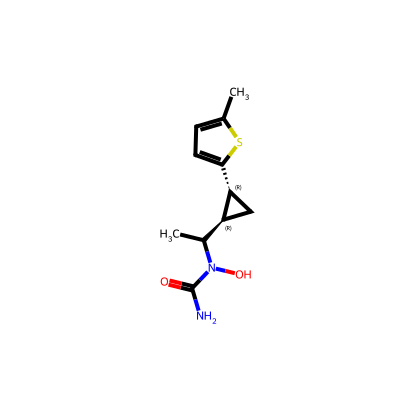 Cc1ccc([C@@H]2C[C@H]2C(C)N(O)C(N)=O)s1